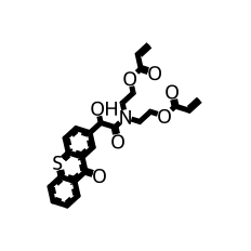 C=CC(=O)OCCN(CCOC(=O)C=C)C(=O)C(O)c1ccc2sc3ccccc3c(=O)c2c1